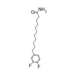 NC(=O)CCCCCCCCCCc1ccc(F)c(F)c1